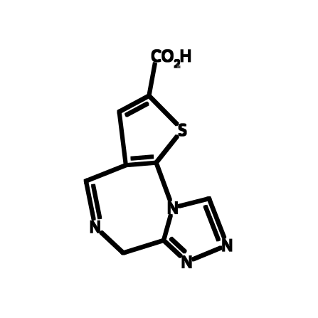 O=C(O)c1cc2c(s1)-n1cnnc1CN=C2